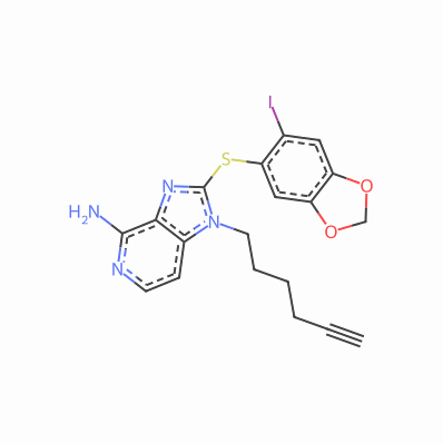 C#CCCCCn1c(Sc2cc3c(cc2I)OCO3)nc2c(N)nccc21